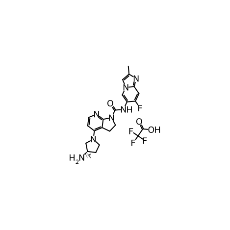 Cc1cn2cc(NC(=O)N3CCc4c(N5CC[C@@H](N)C5)ccnc43)c(F)cc2n1.O=C(O)C(F)(F)F